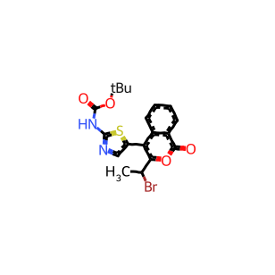 CC(Br)c1oc(=O)c2ccccc2c1-c1cnc(NC(=O)OC(C)(C)C)s1